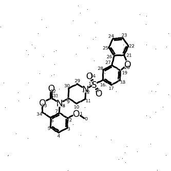 COc1cccc2c1N(C1CCN(S(=O)(=O)c3ccc4oc5ccccc5c4c3)CC1)C(=O)OC2